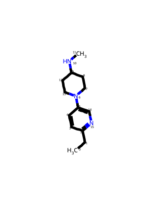 CCc1ccc(N2CCC(NC)CC2)cn1